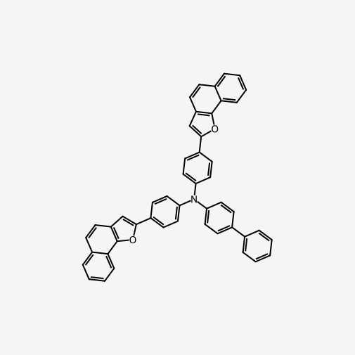 c1ccc(-c2ccc(N(c3ccc(-c4cc5ccc6ccccc6c5o4)cc3)c3ccc(-c4cc5ccc6ccccc6c5o4)cc3)cc2)cc1